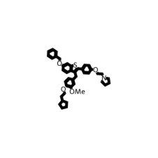 COc1cc(Cc2c(-c3ccc(OCCN4CCCC4)cc3)sc3cc(OCc4ccccc4)ccc23)ccc1OCCC1CCCC1